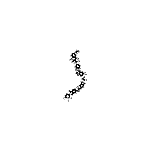 COc1cc2c(Oc3ccc(NC(=O)c4c(C)n(C)c5ccc(OC(F)(F)F)cc5c4=O)cc3F)ncnc2cc1OCC(=O)N1CC2CC(CC(=O)Nc3ccc4c(c3)CN(C3CCC(=O)NC3=O)C4=O)CC2C1